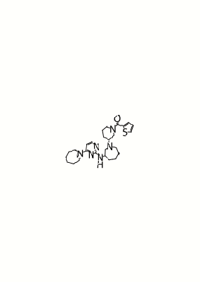 O=C(c1cccs1)N1CCCC(N2CCCCC(Nc3nccc(N4CCCCCC4)n3)C2)C1